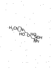 CCCC(CCOCC(O)CN1CCN(C)CC1)[SiH](O)O